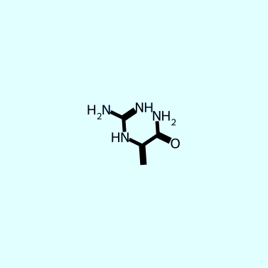 C=C(NC(=N)N)C(N)=O